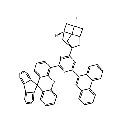 c1ccc2c(c1)Oc1c(-c3nc(-c4cc5ccccc5c5ccccc45)nc(C45CC6C[C@@H]7C[C@@H](C4)C67C5)n3)cccc1C21c2ccccc2-c2ccccc21